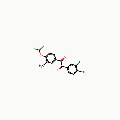 Cc1ccc(C(=O)C(=O)c2ccc(OC(F)F)c(C)c2)cc1F